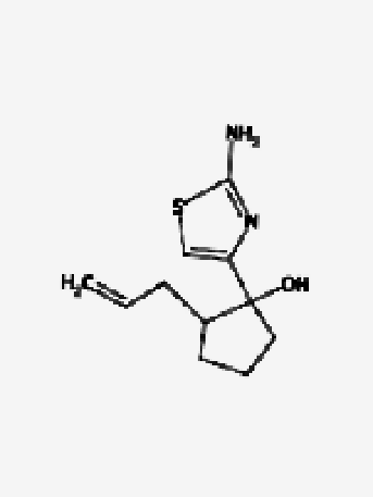 C=CCC1CCCC1(O)c1csc(N)n1